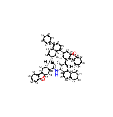 C=CC(NC(C(=C)C(=C)c1cc(-c2ccc(-c3ccccc3)c3ccccc23)cc2oc3ccccc3c12)c1ccc2ccccc2c1)c1ccc2c(c1)oc1ccccc12